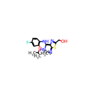 C/N=C1/SC(CO)=N/C1=C(/NC)Nc1ccc(F)cc1OC(C)C